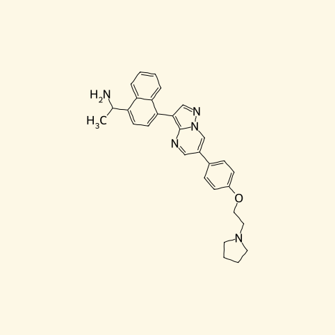 CC(N)c1ccc(-c2cnn3cc(-c4ccc(OCCN5CCCC5)cc4)cnc23)c2ccccc12